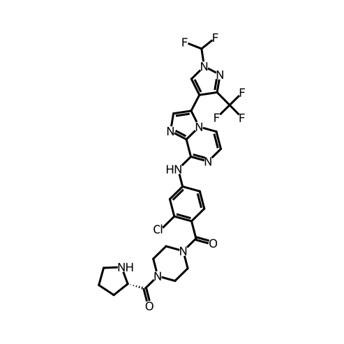 O=C(c1ccc(Nc2nccn3c(-c4cn(C(F)F)nc4C(F)(F)F)cnc23)cc1Cl)N1CCN(C(=O)[C@@H]2CCCN2)CC1